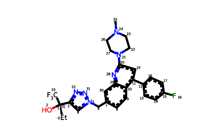 CC[C@](O)(c1cn(Cc2ccc3c(-c4ccc(F)cc4)cc(N4CCN(C)CC4)nc3c2)nn1)C(F)(F)F